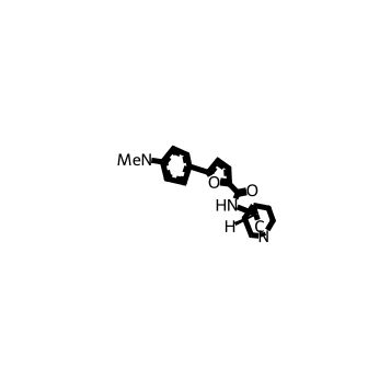 CNc1ccc(-c2ccc(C(=O)N[C@H]3CN4CCC3CC4)o2)cc1